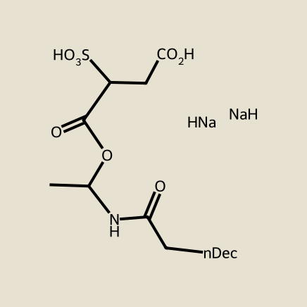 CCCCCCCCCCCC(=O)NC(C)OC(=O)C(CC(=O)O)S(=O)(=O)O.[NaH].[NaH]